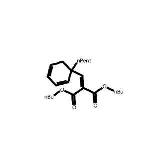 CCCCCC1(C=C(C(=O)OCCCC)C(=O)OCCCC)C=CC=CC1